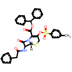 Cc1ccc(S(=O)(=O)OC2=C(C(=O)OC(c3ccccc3)c3ccccc3)N3C(=O)C(NC(=O)Cc4ccccc4)[C@H]3SC2)cc1